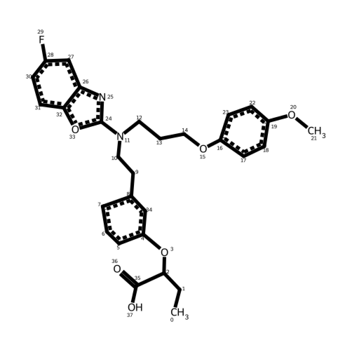 CCC(Oc1cccc(CCN(CCCOc2ccc(OC)cc2)c2nc3cc(F)ccc3o2)c1)C(=O)O